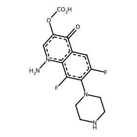 Nn1cc(OC(=O)O)c(=O)c2cc(F)c(N3CCNCC3)c(F)c21